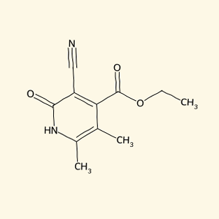 CCOC(=O)c1c(C)c(C)[nH]c(=O)c1C#N